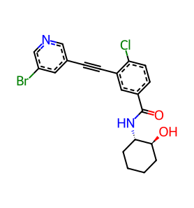 O=C(N[C@H]1CCCC[C@@H]1O)c1ccc(Cl)c(C#Cc2cncc(Br)c2)c1